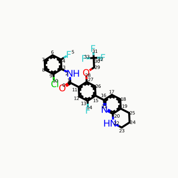 O=C(Nc1c(F)cccc1Cl)c1cc(F)c(-c2ccc3c(n2)NCCC3)cc1OCC(F)(F)F